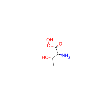 CC(O)[C@H](N)C(=O)OO